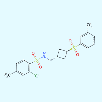 O=S(=O)(NC[C@H]1C[C@H](S(=O)(=O)c2cccc(C(F)(F)F)c2)C1)c1ccc(C(F)(F)F)cc1Cl